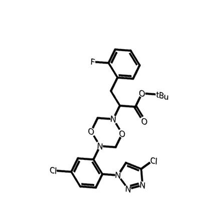 CC(C)(C)OC(=O)C(Cc1ccccc1F)N1CON(c2cc(Cl)ccc2-n2cc(Cl)nn2)CO1